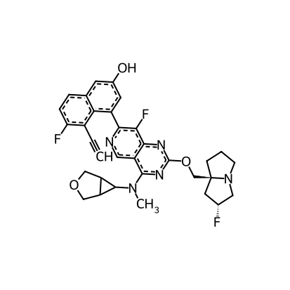 C#Cc1c(F)ccc2cc(O)cc(-c3ncc4c(N(C)C5C6COCC65)nc(OC[C@@]56CCCN5C[C@H](F)C6)nc4c3F)c12